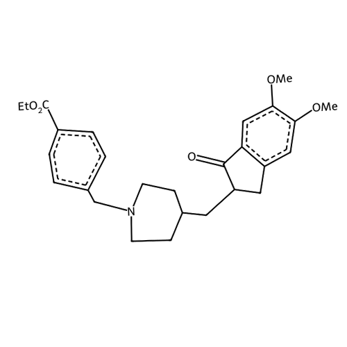 CCOC(=O)c1ccc(CN2CCC(CC3Cc4cc(OC)c(OC)cc4C3=O)CC2)cc1